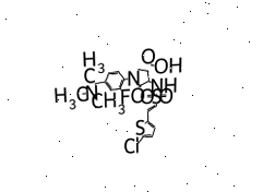 CC(c1ccc(N2CCC(NS(=O)(=O)C=Cc3ccc(Cl)s3)C2=O)c(F)c1)N(C)C.O=CO